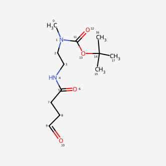 CN(CCNC(=O)CCC=O)C(=O)OC(C)(C)C